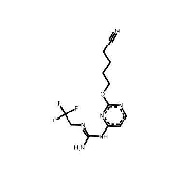 N#CCCCCOc1nccc(NC(N)=NCC(F)(F)F)n1